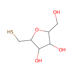 OCC1OC(CS)C(O)C1O